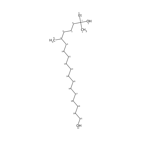 CCC(C)(O)CCCC(C)CCCCCCCCCCCCCO